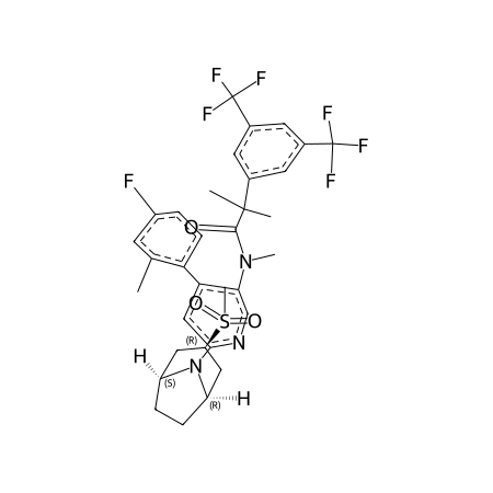 Cc1cc(F)ccc1-c1cc(N2[C@@H]3CC[C@H]2C[C@@H](S(C)(=O)=O)C3)ncc1N(C)C(=O)C(C)(C)c1cc(C(F)(F)F)cc(C(F)(F)F)c1